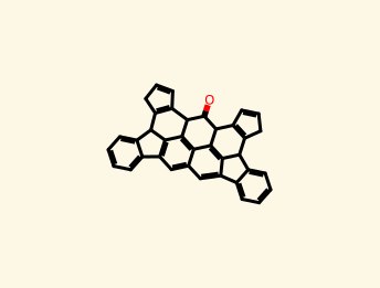 O=C1C2C3=C(CC=C3)C3c4ccccc4-c4cc5cc6c7c(c5c2c43)C1C1=C(CC=C1)C7c1ccccc1-6